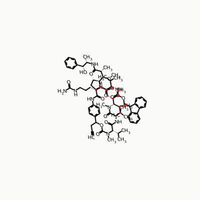 C#CCC(OC(=O)N(C)[C@H](C(=O)N[C@H](C(=O)N(C)[C@H]([C@H](CC(=O)N1CCC[C@H]1[C@H](OC)[C@@H](C)C(=O)N[C@@H](C)[C@H](O)c1ccccc1)OC)[C@@H](C)CC)C(C)C)C(C)C)c1ccc(NC(=O)[C@H](CCCNC(N)=O)NC(=O)[C@@H](NC(=O)OCC2c3ccccc3-c3ccccc32)C(C)C)cc1